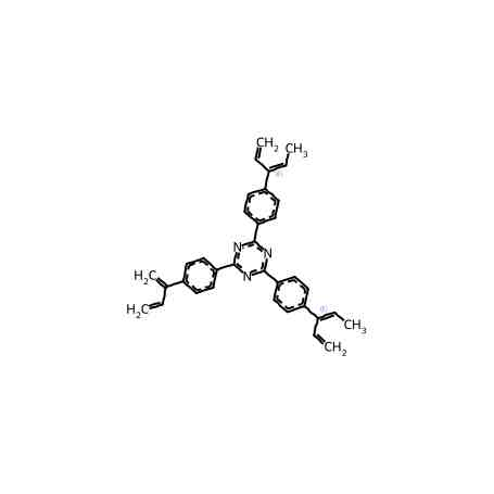 C=CC(=C)c1ccc(-c2nc(-c3ccc(/C(C=C)=C/C)cc3)nc(-c3ccc(/C(C=C)=C/C)cc3)n2)cc1